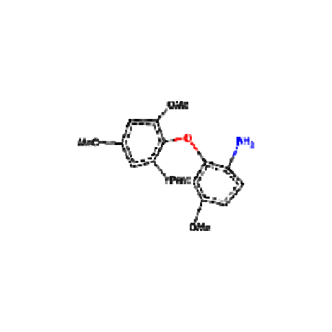 CCCCCc1cc(OC)cc(OC)c1Oc1cc(OC)ccc1N